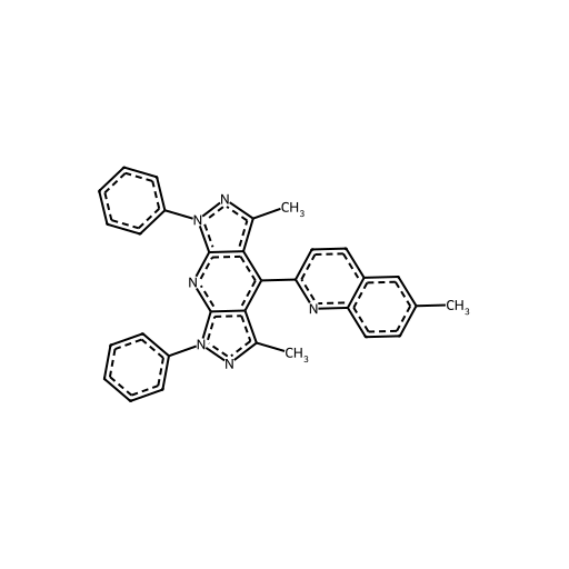 Cc1ccc2nc(-c3c4c(C)nn(-c5ccccc5)c4nc4c3c(C)nn4-c3ccccc3)ccc2c1